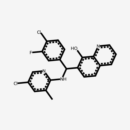 Cc1cc(Cl)cnc1NC(c1ccc(Cl)c(F)c1)c1ccc2cccnc2c1O